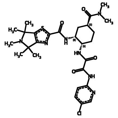 CN(C)C(=O)[C@H]1CC[C@H](NC(=O)C(=O)Nc2ccc(Cl)cn2)[C@H](NC(=O)c2nc3c(s2)C(C)(C)N(C)C3(C)C)C1